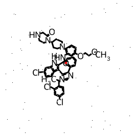 COCCOc1ccc(N2CCC(N3CCNCC3=O)CC2)c(NC(=O)c2[nH]c3cc(Cl)ccc3c2-c2c(-c3ccccc3)ncn2C(C)c2ccc(Cl)cc2Cl)c1